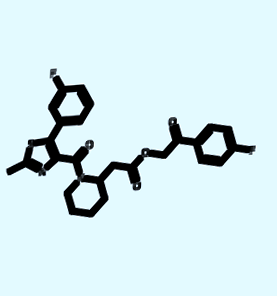 Cc1nc(C(=O)N2CCCCC2CC(=O)OCC(=O)c2ccc(F)cc2)c(-c2cccc(F)c2)s1